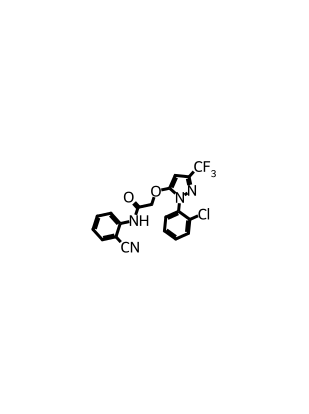 N#Cc1ccccc1NC(=O)COc1cc(C(F)(F)F)nn1-c1ccccc1Cl